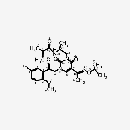 COc1ccc(F)cc1C(=O)Cn1cc(C(C)=NOC(C)C)c(=O)n(CC(C)NC(=O)C(C)C)c1=O